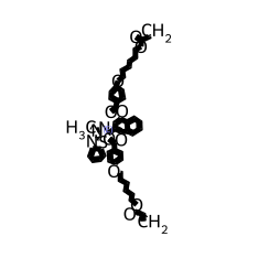 C=CC(=O)OCCCCCCOc1ccc(C(=O)Oc2cc(/C=N/N(C)c3nc4ccccc4s3)c(OC(=O)c3ccc(OCCCCCCOC(=O)C=C)cc3)c3ccccc23)cc1